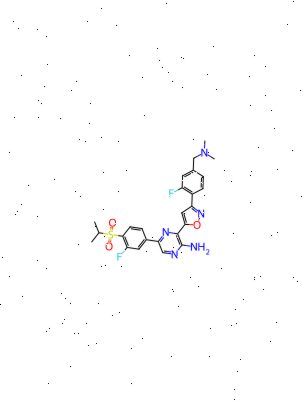 CC(C)S(=O)(=O)c1ccc(-c2cnc(N)c(-c3cc(-c4ccc(CN(C)C)cc4F)no3)n2)cc1F